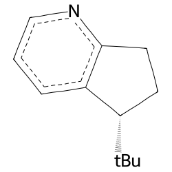 CC(C)(C)[C@H]1CCc2ncccc21